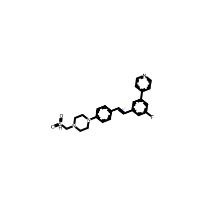 O=[SH](=O)CN1CCN(c2ccc(/C=C/c3cc(F)cc(-c4ccncc4)c3)cc2)CC1